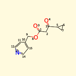 O=C(CC(=O)C1CC1)OCc1ccncc1